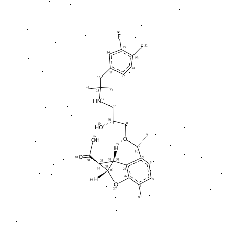 Cc1ccc([C@@H](C)OC[C@H](O)CNC(C)(C)Cc2ccc(F)c(F)c2)c2c1O[C@@H]1[C@@H](C(=O)O)[C@H]21